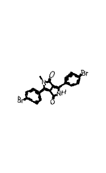 CN1C(=O)C2=C(c3ccc(Br)cc3)NC(=O)C2=C1c1ccc(Br)cc1